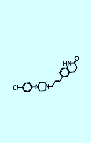 O=C1CCc2cc(/C=C/CN3CCN(c4ccc(Cl)cc4)CC3)ccc2N1